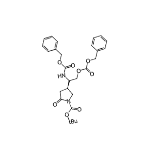 CC(C)(C)OC(=O)N1C[C@H](C(COC(=O)OCc2ccccc2)NC(=O)OCc2ccccc2)CC1=O